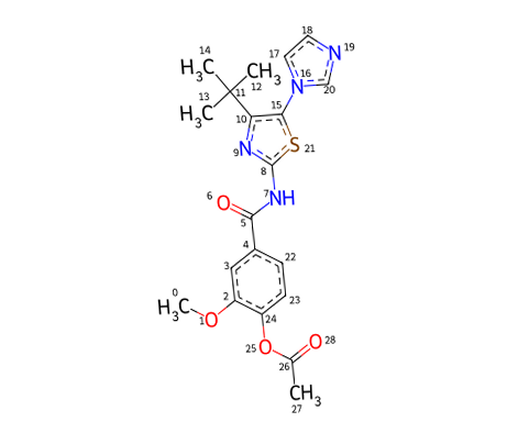 COc1cc(C(=O)Nc2nc(C(C)(C)C)c(-n3ccnc3)s2)ccc1OC(C)=O